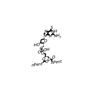 CCCCCC(=O)OC[C@H](COP(=O)(O)OC[C@H]1O[C@@H](n2cnc3c(=S)[nH]c(N)nc32)C[C@@H]1O)OC(=O)CCCCC